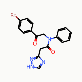 O=C(CN(C(=O)Cc1nc[nH]n1)c1ccccc1)c1ccc(Br)cc1